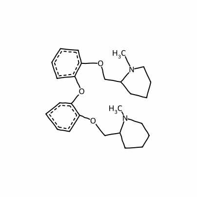 CN1CCCCC1COc1ccccc1Oc1ccccc1OCC1CCCCN1C